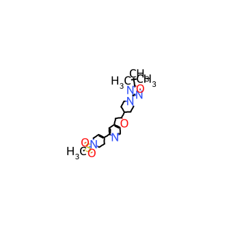 CC(C)(C)c1nc(N2CCC(C3Cc4cc(C5=CCN(S(C)(=O)=O)CC5)ncc4O3)CC2)no1